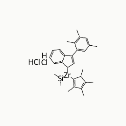 CC1=C(C)C(C)[C]([Zr]([CH]2C=C(c3cc(C)cc(C)c3C)c3ccccc32)=[Si](C)C)=C1C.Cl.Cl